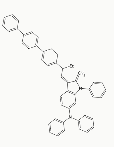 C=c1/c(=C\C(CC)C2=CC=C(c3ccc(-c4ccccc4)cc3)CC2)c2ccc(N(c3ccccc3)c3ccccc3)cc2n1-c1ccccc1